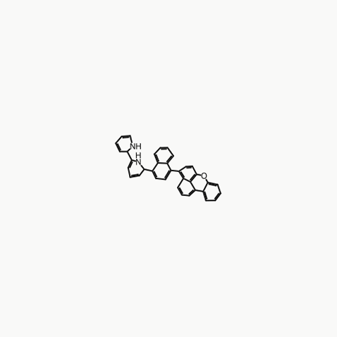 C1=CNC(C2=CC=CC(c3ccc(-c4ccc5c6c(cccc46)-c4ccccc4O5)c4ccccc34)N2)C=C1